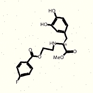 COC(=O)[C@H](Cc1ccc(O)c(O)c1)NCCOC(=O)c1ccc(F)cc1